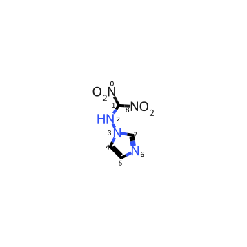 O=[N+]([O-])C(Nn1ccnc1)[N+](=O)[O-]